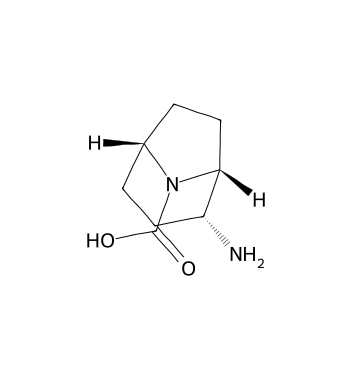 N[C@@H]1CC[C@@H]2CC[C@H]1N2C(=O)O